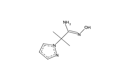 CC(C)(C(N)=NO)n1cccn1